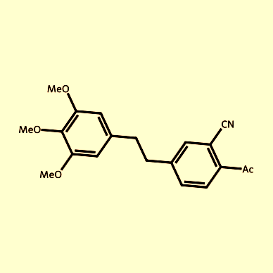 COc1cc(CCc2ccc(C(C)=O)c(C#N)c2)cc(OC)c1OC